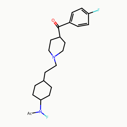 CC(=O)N(F)C1CCC(CCN2CCC(C(=O)c3ccc(F)cc3)CC2)CC1